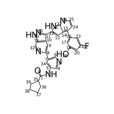 O=C(Nc1cncc(-c2cc3c(-c4cc5c(-c6cc(O)cc(F)c6)ccnc5[nH]4)n[nH]c3cn2)c1)C1CCCC1